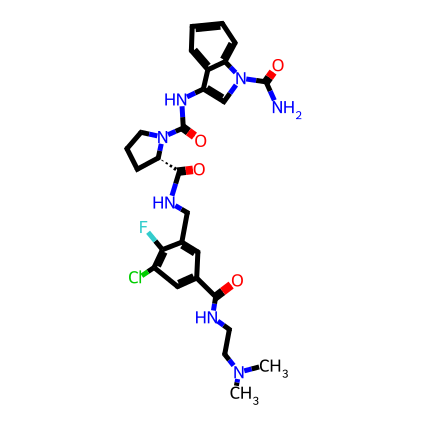 CN(C)CCNC(=O)c1cc(Cl)c(F)c(CNC(=O)[C@@H]2CCCN2C(=O)Nc2cn(C(N)=O)c3ccccc23)c1